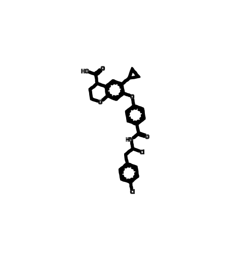 O=C(NC(Cl)Cc1ccc(Cl)cc1)c1ccc(Oc2cc3c(cc2C2CC2)C(C(=O)O)CCO3)cc1